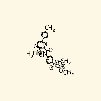 COP(=O)(CS(=O)(=O)c1ccc(NC(=O)c2nc(-c3ccc(C)cc3)cnc2N(C)C)cc1)OC